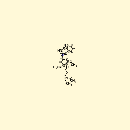 CCN(CC)CCCOc1c(OC)cc(/N=C(/NC#N)Oc2ccccc2)cc1OC